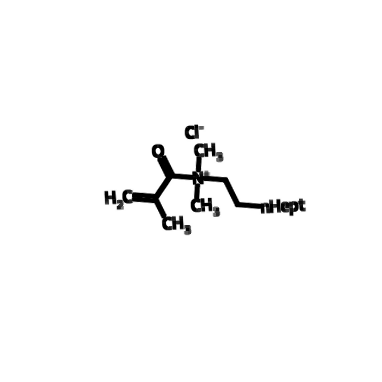 C=C(C)C(=O)[N+](C)(C)CCCCCCCCC.[Cl-]